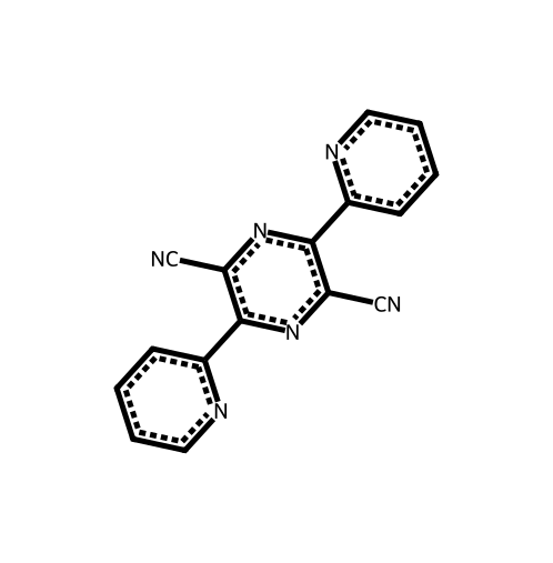 N#Cc1nc(-c2ccccn2)c(C#N)nc1-c1ccccn1